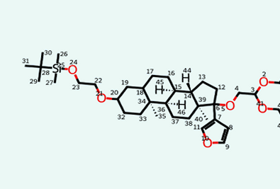 CCOC(COC1(c2ccoc2)CC[C@H]2[C@@H]3CCC4CC(OCCO[Si](C)(C)C(C)(C)C)CC[C@]4(C)[C@@H]3CC[C@@]21C)OCC